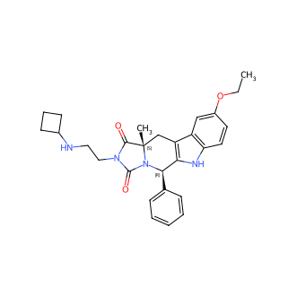 CCOc1ccc2[nH]c3c(c2c1)C[C@@]1(C)C(=O)N(CCNC2CCC2)C(=O)N1[C@@H]3c1ccccc1